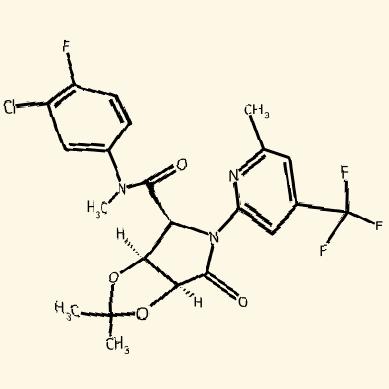 Cc1cc(C(F)(F)F)cc(N2C(=O)[C@H]3OC(C)(C)O[C@H]3[C@H]2C(=O)N(C)c2ccc(F)c(Cl)c2)n1